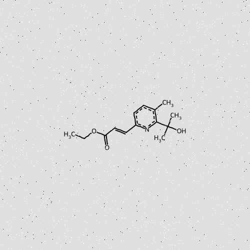 CCOC(=O)C=Cc1ccc(C)c(C(C)(C)O)n1